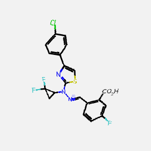 O=C(O)c1cc(F)ccc1/C=N/N(c1nc(-c2ccc(Cl)cc2)cs1)C1CC1(F)F